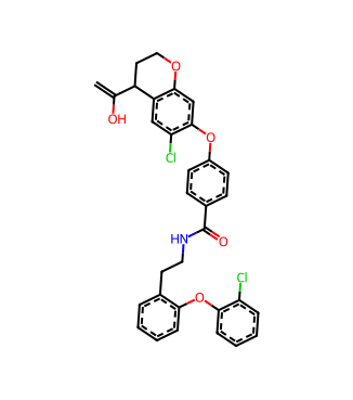 C=C(O)C1CCOc2cc(Oc3ccc(C(=O)NCCc4ccccc4Oc4ccccc4Cl)cc3)c(Cl)cc21